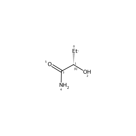 C[CH][C@H](O)C(N)=O